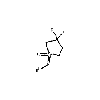 CC(C)N=S1(=O)CCC(F)(F)C1